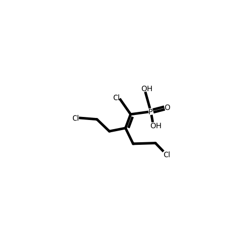 O=P(O)(O)C(Cl)=C(CCCl)CCCl